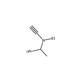 C#CN(CC)C(C)CCC